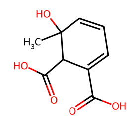 CC1(O)C=CC=C(C(=O)O)C1C(=O)O